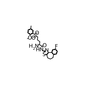 COc1ccc(C)cc1S(=O)(=O)CCCC(N)C(=O)Nc1nc2c(s1)CCCc1ccc(F)cc1-2